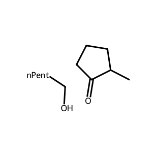 CC1CCCC1=O.CCCCCCO